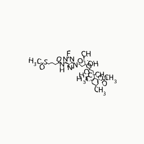 C#C[C@]1(CO)O[C@@H](n2cnc3c(NC(=O)CCCSC(C)=O)nc(F)nc32)C[C@@H]1OC(=O)CC(C)(C)c1c(C)cc(C)cc1OC(C)=O